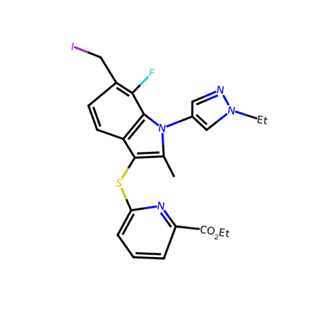 CCOC(=O)c1cccc(Sc2c(C)n(-c3cnn(CC)c3)c3c(F)c(CI)ccc23)n1